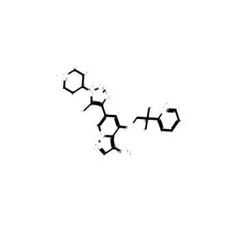 Cc1c(-c2cc(OCC(C)(C)c3ccccn3)c3c(C#N)cnn3c2)nnn1C1CCNCC1